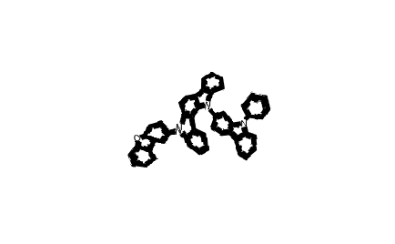 c1ccc(-n2c3ccccc3c3ccc(-n4c5ccccc5c5ccc6c(c7ccccc7n6-c6ccc7oc8ccccc8c7c6)c54)cc32)cc1